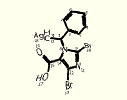 CC(c1ccccc1)n1c(Br)nc(Br)c1C(=O)O.[Ag]